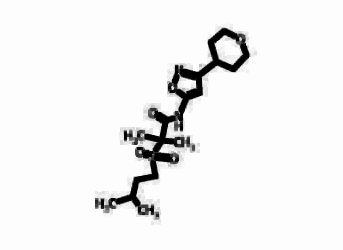 CC(C)CCS(=O)(=O)C(C)(C)C(=O)Nc1cc(C2CCOCC2)no1